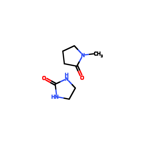 CN1CCCC1=O.O=C1NCCN1